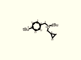 CC(C)(C)c1ccc(CN(CC2CC2)C(C)(C)C)cc1